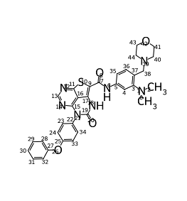 CN(C)c1cc(NC(=O)c2sc3ncnc4c3c2NC(=O)N4c2ccc(Oc3ccccc3)cc2)ccc1CN1CCOCC1